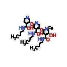 CCCCNC(=O)c1ccncc1O.CCCCNC(=O)c1ccncc1O.CCCCNC(=O)c1ccncc1O.[Fe]